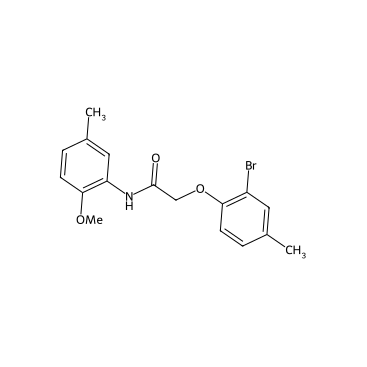 COc1ccc(C)cc1NC(=O)COc1ccc(C)cc1Br